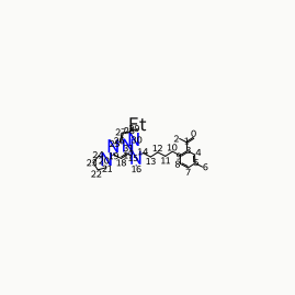 C=C(C)c1cc(C)ccc1CCCCCN(C)c1cc(N2CCCC2)nc2cc(CC)nn12